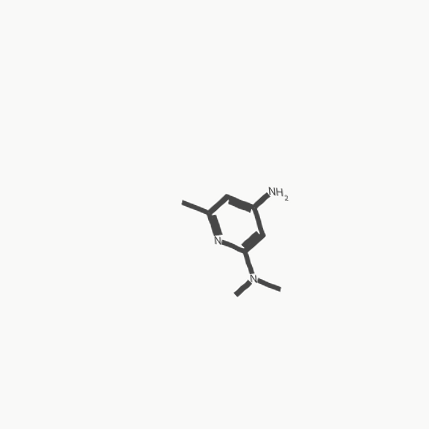 Cc1cc(N)cc(N(C)C)n1